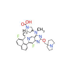 CCc1c(F)ccc2cccc(-c3ncc4c(N(C)[C@@H]5CCN(C(=O)O)C5)nc(OCC56CCCN5CCC6)nc4c3F)c12